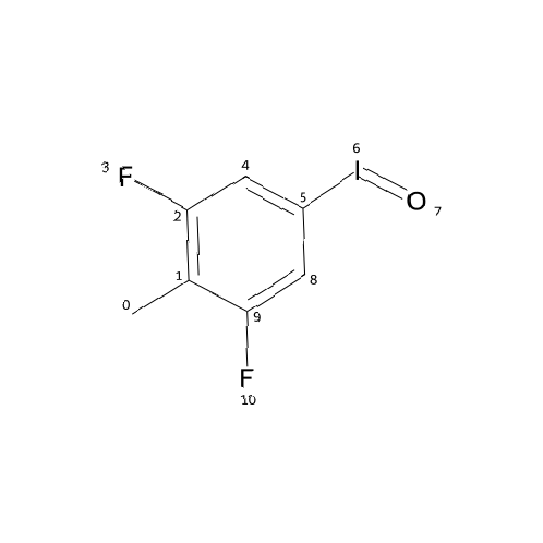 Cc1c(F)cc(I=O)cc1F